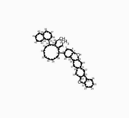 C/C=c1/c(-c2ccc3oc4cc5cc6c(cc5cc4c3c2)oc2ccccc26)ccccccc(-c2cccc3ccccc23)/c1=C/C